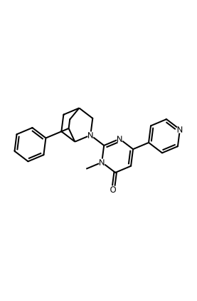 Cn1c(N2CC3CCC2C(c2ccccc2)C3)nc(-c2ccncc2)cc1=O